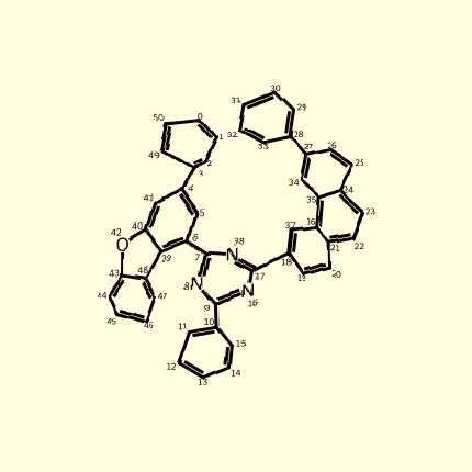 c1ccc(-c2cc(-c3nc(-c4ccccc4)nc(-c4ccc5ccc6ccc(-c7ccccc7)cc6c5c4)n3)c3c(c2)oc2ccccc23)cc1